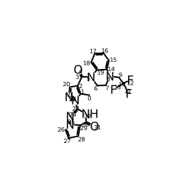 Cc1c(C(=O)N2CCN(CC(F)(F)F)c3ccccc32)cnn1-c1nn2cccc2c(=O)[nH]1